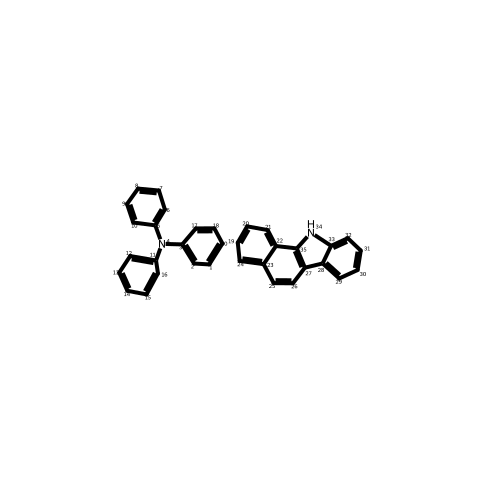 c1ccc(N(c2ccccc2)c2ccccc2)cc1.c1ccc2c(c1)ccc1c3ccccc3[nH]c21